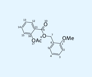 COc1ccccc1COC(=O)c1ccccc1OC(C)=O